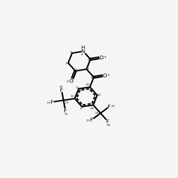 O=C1CCNC(=O)C1C(=O)c1cc(C(F)(F)F)cc(C(F)(F)F)c1